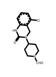 O=CN1CCC(N2Cc3c(Cl)cccc3NC2=O)CC1